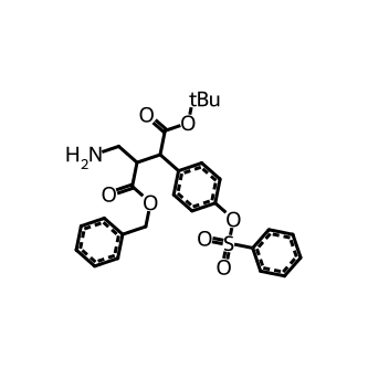 CC(C)(C)OC(=O)C(c1ccc(OS(=O)(=O)c2ccccc2)cc1)C(CN)C(=O)OCc1ccccc1